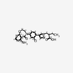 CCC(Cn1cc(-c2ccc(N3CCOc4ncnc(N)c4C3=O)cc2Cl)cn1)C(=O)O